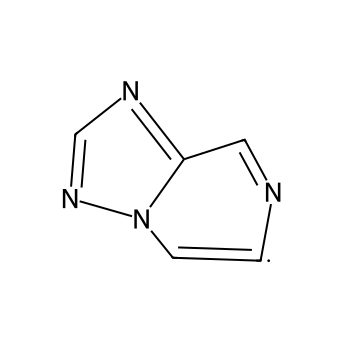 [c]1cn2ncnc2cn1